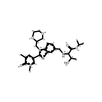 Cc1cc(-c2nc3cc(CNC(C(=O)OC(C)C)C(C)O)ccc3n2CC2COCCO2)cn(C)c1=O